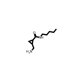 CCCCCNC(=O)C1CC1CN